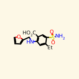 CCc1cc(NCc2ccco2)c(C(=O)O)cc1S(N)(=O)=O